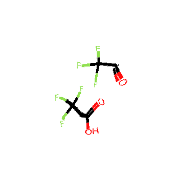 O=C(O)C(F)(F)F.O=[C]C(F)(F)F